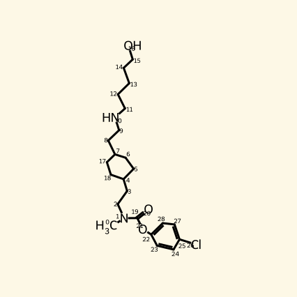 CN(CCC1CCC(CCNCCCCCO)CC1)C(=O)Oc1ccc(Cl)cc1